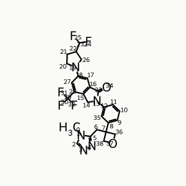 Cn1cnnc1CC1(c2cccc(N3Cc4c(cc(N5CCC(C(F)F)C5)cc4C(F)(F)F)C3=O)c2)COC1